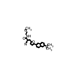 COCCNC(=O)/C(C#N)=C/c1ccc(-c2ccc3cc(N(C)C)ccc3c2)o1